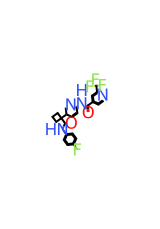 O=C(NC1=NCC(C2(C(=O)Nc3ccc(F)cc3)CCC2)C=C1)c1ccnc(C(F)(F)F)c1